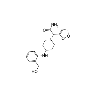 NC(=O)C(C1=CCOO1)N1CCC(Nc2ccccc2CO)CC1